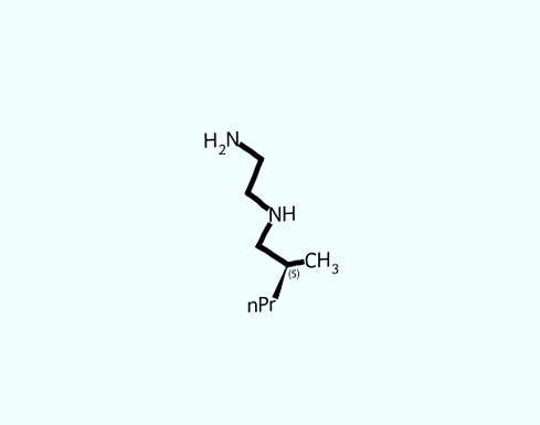 CCC[C@H](C)CNCCN